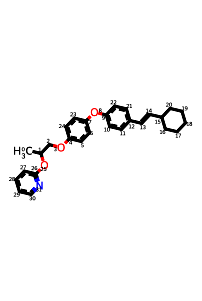 CC(COc1ccc(Oc2ccc(/C=C/C3CCCCC3)cc2)cc1)Oc1ccccn1